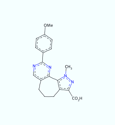 COc1ccc(-c2ncc3c(n2)-c2c(c(C(=O)O)nn2C)CCC3)cc1